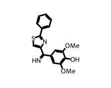 COc1cc(C(=N)c2csc(-c3ccccc3)n2)cc(OC)c1O